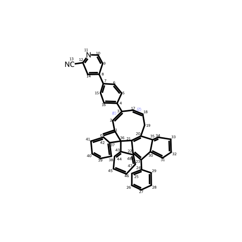 C=C1/C=C(c2ccc(-c3ccnc(C#N)c3)cc2)\C=C/Cc2c(cc(-c3ccccc3)c3ccccc23)C1(c1ccccc1)c1ccccc1